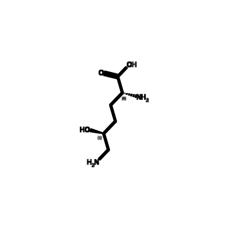 NC[C@@H](O)CC[C@@H](N)C(=O)O